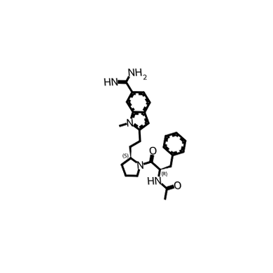 CC(=O)N[C@H](Cc1ccccc1)C(=O)N1CCC[C@H]1CCc1cc2ccc(C(=N)N)cc2n1C